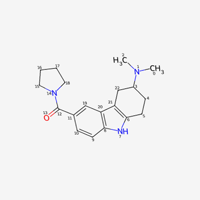 CN(C)C1CCc2[nH]c3ccc(C(=O)N4CCCC4)cc3c2C1